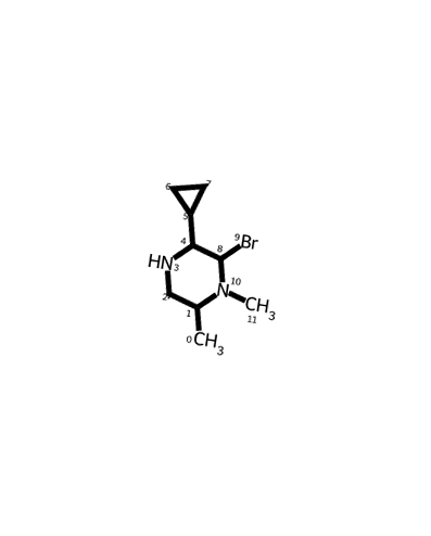 CC1[CH]NC(C2CC2)C(Br)N1C